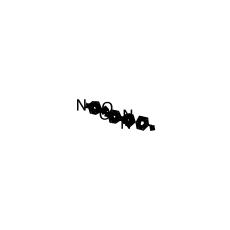 CC[C@H]1CC[C@H](c2cnc(-c3ccc(OC(=O)c4ccc(C#N)cc4)cc3)nc2)CC1